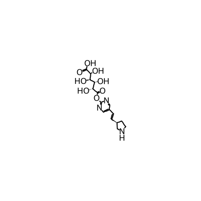 O=C(O)[C@@H](O)[C@H](O)[C@H](O)[C@@H](O)C(=O)Oc1ncc(/C=C/[C@H]2CCNC2)cn1